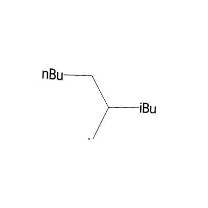 [CH2]C(CCCCC)C(C)CC